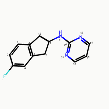 Fc1ccc2c(c1)CC(Nc1ncccn1)C2